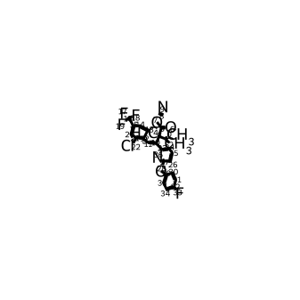 CC(C)C(C)(C(=O)OC#N)C(=Cc1ccc(C(F)(F)F)cc1Cl)c1cccc(Oc2ccc(F)cc2)n1